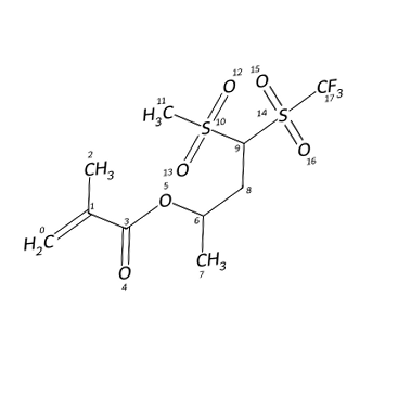 C=C(C)C(=O)OC(C)CC(S(C)(=O)=O)S(=O)(=O)C(F)(F)F